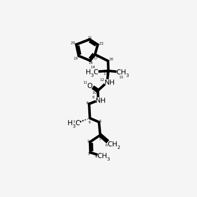 C=C(/C=C\C)C[C@H](C)CNC(=O)NC(C)(C)Cc1ccccc1